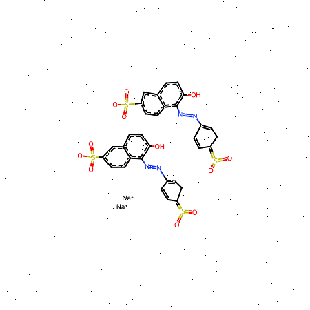 O=S(=O)=C1C=CC(N=Nc2c(O)ccc3cc(S(=O)(=O)[O-])ccc23)=CC1.O=S(=O)=C1C=CC(N=Nc2c(O)ccc3cc(S(=O)(=O)[O-])ccc23)=CC1.[Na+].[Na+]